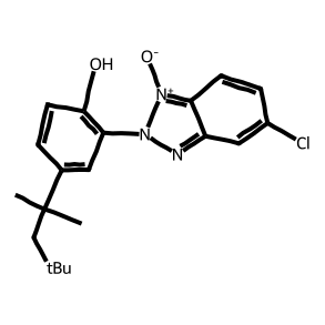 CC(C)(C)CC(C)(C)c1ccc(O)c(-n2nc3cc(Cl)ccc3[n+]2[O-])c1